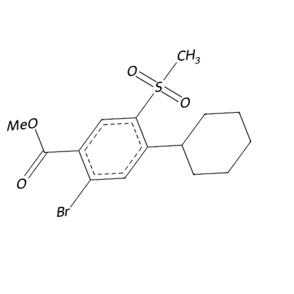 COC(=O)c1cc(S(C)(=O)=O)c(C2CCCCC2)cc1Br